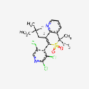 CC(C)(CC1=C(c2c(Cl)cnc(Cl)c2Cl)S(=O)(=O)C(C)(C)c2cccnc21)C(=O)O